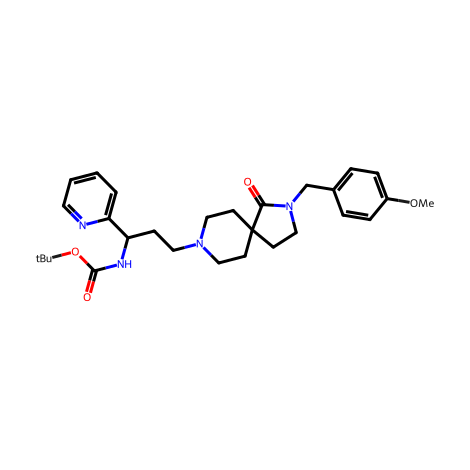 COc1ccc(CN2CCC3(CCN(CCC(NC(=O)OC(C)(C)C)c4ccccn4)CC3)C2=O)cc1